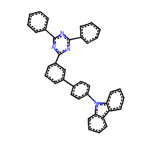 c1ccc(-c2nc(-c3ccccc3)nc(-c3cccc(-c4ccc(-n5c6ccccc6c6ccccc65)cc4)c3)n2)cc1